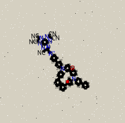 N#Cc1nc2c3nc(C#N)c(C#N)nc3c3nc(C#[N+]c4ccc(-c5ccc(N(c6ccc(-c7ccccc7)cc6)c6ccc7oc8ccc(N(c9ccc(-c%10ccccc%10)cc9)c9ccc(-c%10ccccc%10)cc9)cc8c7c6)cc5)cc4)c(C#N)nc3c2nc1C#N